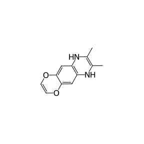 Cc1[nH]c2cc3occoc3cc2[nH]c1C